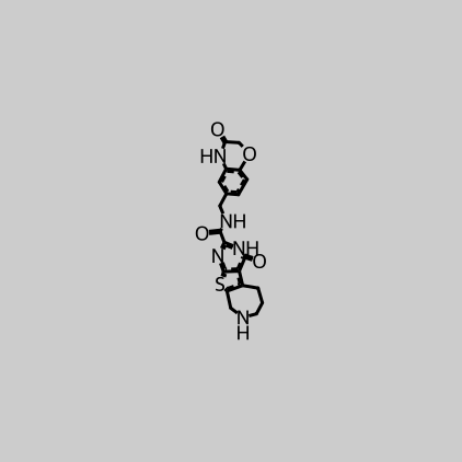 O=C1COc2ccc(CNC(=O)c3nc4sc5c(c4c(=O)[nH]3)CCCNC5)cc2N1